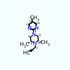 C#CCN1[C@H](C)CN(c2ncc(C)cn2)C[C@@H]1C